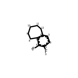 Fc1ccc2c(c1F)CCCCC2